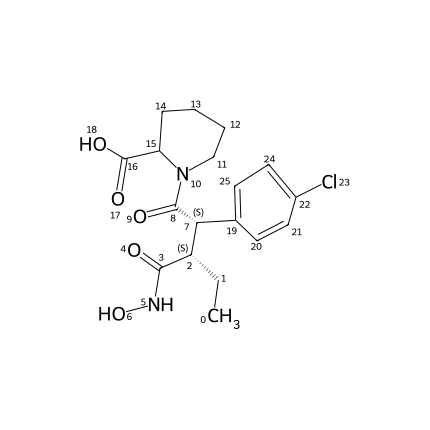 CC[C@H](C(=O)NO)[C@H](C(=O)N1CCCCC1C(=O)O)c1ccc(Cl)cc1